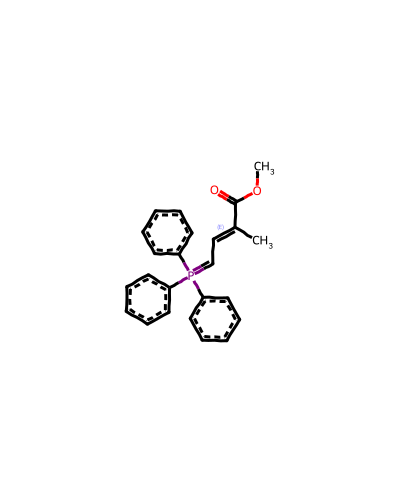 COC(=O)/C(C)=C/C=P(c1ccccc1)(c1ccccc1)c1ccccc1